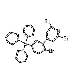 Brc1cc(-c2cc([Si](c3ccccc3)(c3ccccc3)c3ccccc3)ccc2Br)cc(Br)n1